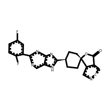 O=C1O[C@]2(CC[C@H](c3nc4nc(-c5cc(F)ccc5F)ncc4[nH]3)CC2)c2cnccc21